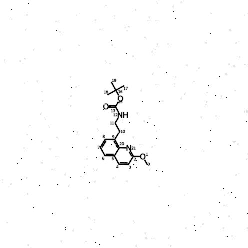 COc1ccc2cccc(CCNC(=O)OC(C)(C)C)c2n1